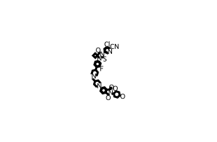 N#Cc1ncc(N2C(=O)C3(CCC3)N(c3ccc(C4CCN(CC5CCN(c6ccc7c(c6)C(=O)N(C6CCC(=O)CC6=O)C7=O)CC5)CC4)c(F)c3)C2=S)cc1Cl